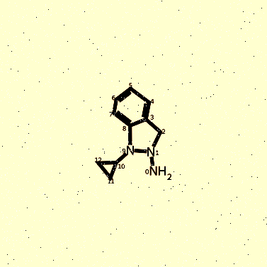 NN1Cc2ccccc2N1C1CC1